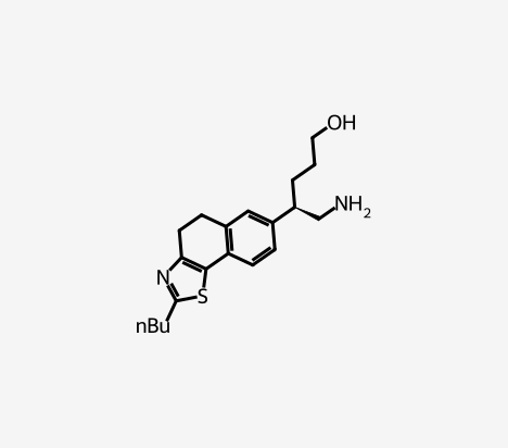 CCCCc1nc2c(s1)-c1ccc([C@H](CN)CCCO)cc1CC2